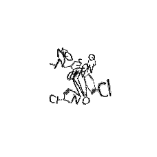 CCN(Cc1csc(C(=O)Nc2c(C(=O)Nc3ccc(Cl)cn3)cc(Cl)cc2N2CCOCC2)c1Cl)C1=NCCO1